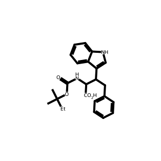 CCC(C)(C)OC(=O)NC(C(=O)O)C(Cc1ccccc1)c1c[nH]c2ccccc12